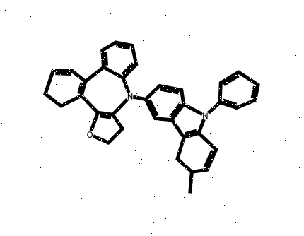 CC1C=Cc2c(c3cc(N4C5=C(OCC5)C5=C(C=CCC5)c5ccccc54)ccc3n2-c2ccccc2)C1